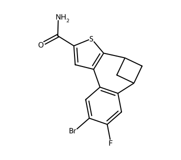 NC(=O)c1cc2c(s1)C1CC(C1)c1cc(F)c(Br)cc1-2